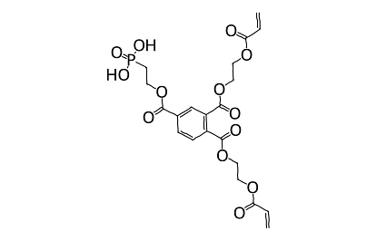 C=CC(=O)OCCOC(=O)c1ccc(C(=O)OCCP(=O)(O)O)cc1C(=O)OCCOC(=O)C=C